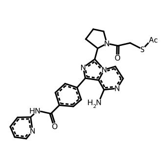 CC(=O)SCC(=O)N1CCCC1c1nc(-c2ccc(C(=O)Nc3ccccn3)cc2)c2c(N)nccn12